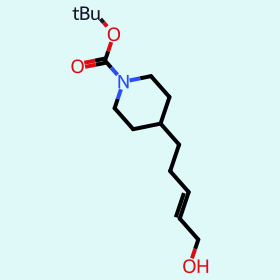 CC(C)(C)OC(=O)N1CCC(CC/C=C/CO)CC1